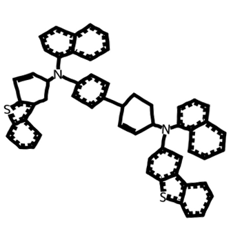 C1=CC(N(c2ccc(C3C=CC(N(c4ccc5sc6ccccc6c5c4)c4cccc5ccccc45)CC3)cc2)c2cccc3ccccc23)Cc2c1sc1ccccc21